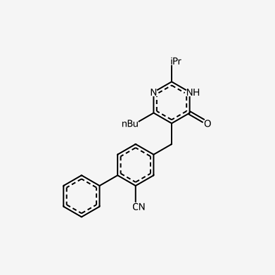 CCCCc1nc(C(C)C)[nH]c(=O)c1Cc1ccc(-c2ccccc2)c(C#N)c1